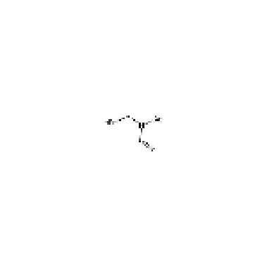 C=CN(CCCC)C(C)=O